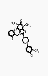 Cn1c(=O)c2c(nc(N3CCN(c4ccc(Cl)c(C(F)(F)F)c4)CC3)n2Cc2c(F)cccc2Cl)n(C)c1=O